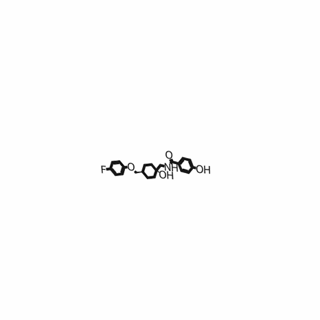 O=C(NC[C@]1(O)CC[C@H](COc2ccc(F)cc2)CC1)c1ccc(O)cc1